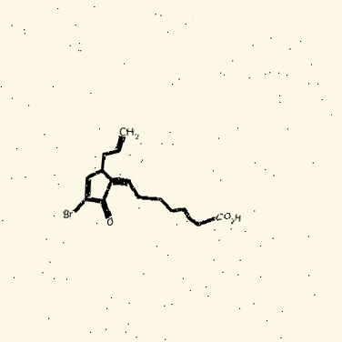 C=CCC1C=C(Br)C(=O)C1=CCCCCCC(=O)O